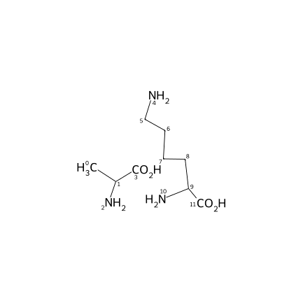 CC(N)C(=O)O.NCCCCC(N)C(=O)O